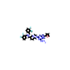 Nc1nc(N2CCN3CC(CN(Cc4cccc(F)c4F)Cc4cccc(F)c4F)CCC3C2)nc2nc(-c3ccco3)nn12